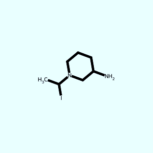 CC(I)N1CCCC(N)C1